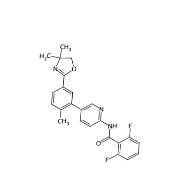 Cc1ccc(C2=NC(C)(C)CO2)cc1-c1ccc(NC(=O)c2c(F)cccc2F)nc1